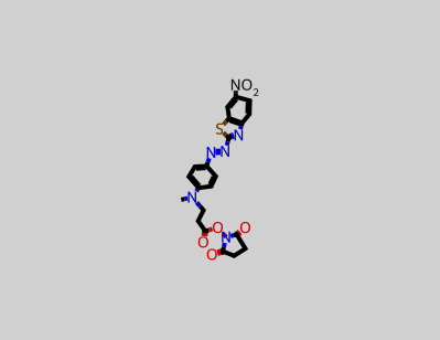 CN(CCC(=O)ON1C(=O)CCC1=O)c1ccc(N=Nc2nc3ccc([N+](=O)[O-])cc3s2)cc1